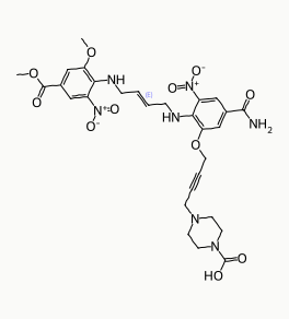 COC(=O)c1cc(OC)c(NC/C=C/CNc2c(OCC#CCN3CCN(C(=O)O)CC3)cc(C(N)=O)cc2[N+](=O)[O-])c([N+](=O)[O-])c1